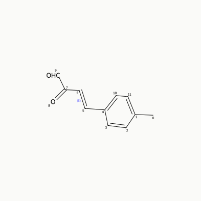 Cc1ccc(/C=C/C(=O)C=O)cc1